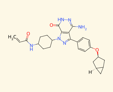 C=CC(=O)NC1CCC(n2nc(-c3ccc(O[C@H]4CC5C[C@H]5C4)cc3)c3c(N)n[nH]c(=O)c32)CC1